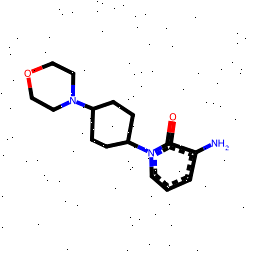 Nc1cccn(C2CCC(N3CCOCC3)CC2)c1=O